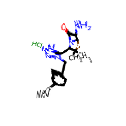 COc1ccc(Cn2nnnc2C2N3C(=O)C(N)C3SC2(C)C)cc1.Cl